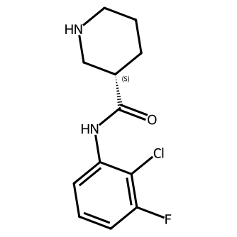 O=C(Nc1cccc(F)c1Cl)[C@H]1CCCNC1